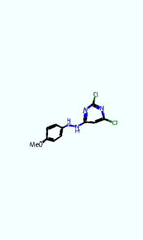 COc1ccc(NNc2cc(Cl)nc(Cl)n2)cc1